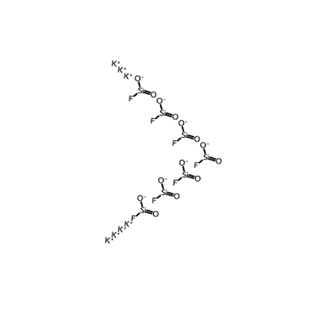 O=[Si]([O-])F.O=[Si]([O-])F.O=[Si]([O-])F.O=[Si]([O-])F.O=[Si]([O-])F.O=[Si]([O-])F.O=[Si]([O-])F.[K+].[K+].[K+].[K+].[K+].[K+].[K+]